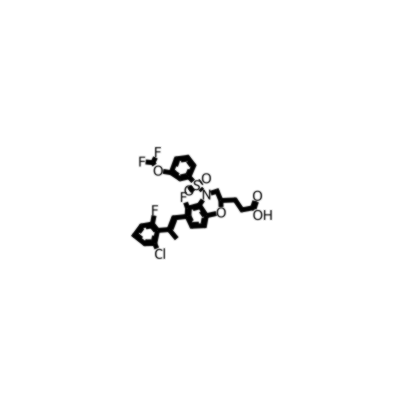 C/C(=C\c1ccc2c(c1F)N(S(=O)(=O)c1cccc(OC(F)F)c1)CC(CCC(=O)O)O2)c1c(F)cccc1Cl